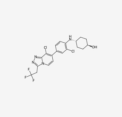 O[C@H]1CC[C@H](Nc2ccc(-c3ccn4c(CC(F)(F)F)nnc4c3Cl)cc2Cl)CC1